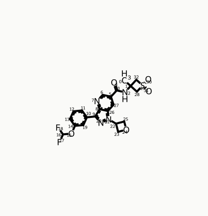 CC1(NC(=O)c2cnc3c(-c4cccc(OC(F)F)c4)nn(C4COC4)c3c2)CS(=O)(=O)C1